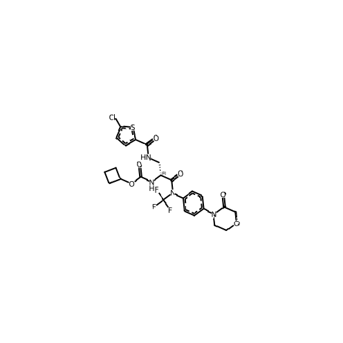 O=C(N[C@H](CNC(=O)c1ccc(Cl)s1)C(=O)N(c1ccc(N2CCOCC2=O)cc1)C(F)(F)F)OC1CCC1